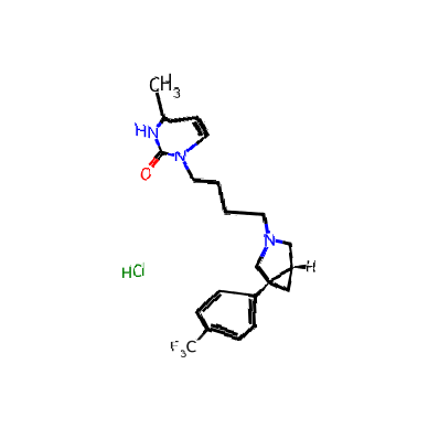 CC1C=CN(CCCCN2C[C@@H]3C[C@]3(c3ccc(C(F)(F)F)cc3)C2)C(=O)N1.Cl